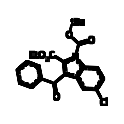 CCOC(=O)c1c(C(=O)c2ccccc2)c2cc(Cl)ccc2n1C(=O)OC(C)(C)C